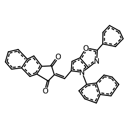 O=C1C(=Cc2cc3oc(-c4ccccc4)nc3n2-c2cccc3ccccc23)C(=O)c2cc3ccccc3cc21